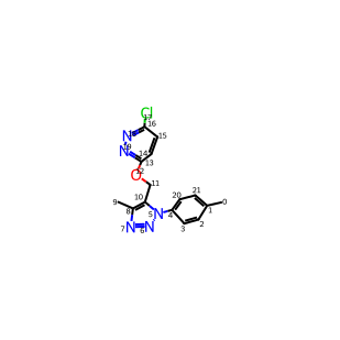 Cc1ccc(-n2nnc(C)c2COc2ccc(Cl)nn2)cc1